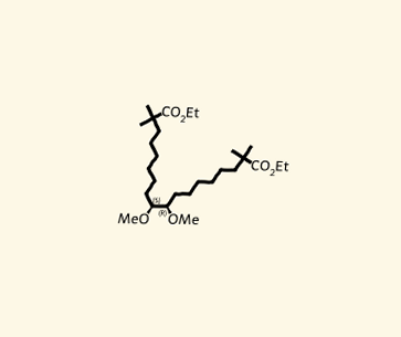 CCOC(=O)C(C)(C)CCCCCC[C@H](OC)[C@@H](CCCCCCC(C)(C)C(=O)OCC)OC